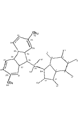 CC1C(C)C(C)C2C(C1C)C(C)C(C)C2S(C)(C)C1C2C=C(C(C)(C)C)C=CC2C2C=CC(C(C)(C)C)=CC21